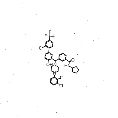 O=C(NC1CCCC1)c1cccc(C(c2cc(-c3ccc(C(F)(F)F)cc3Cl)ccc2O)N2CCN(c3cccc(Cl)c3Cl)CC2)c1